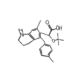 Cc1ccc(-c2c3c(cc(C)c2C(OC(C)(C)C)C(=O)O)NCCC3)cc1